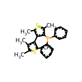 Cc1sc(C)c(-c2c(C)sc(C)c2P(c2ccccc2)c2ccccc2)c1C